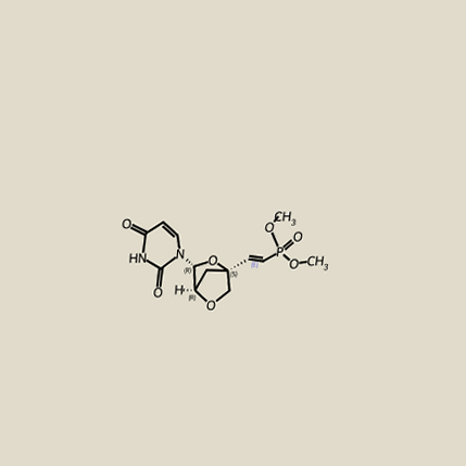 COP(=O)(/C=C/[C@]12CO[C@H](C1)[C@H](n1ccc(=O)[nH]c1=O)O2)OC